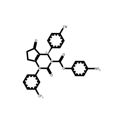 N#Cc1ccc([C@@H]2C3=C(CCC3=O)N(c3cccc(C(F)(F)F)c3)C(=O)N2C(=O)Oc2ccc([N+](=O)[O-])cc2)cc1